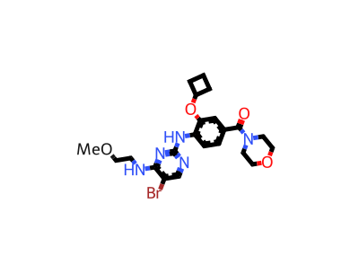 COCCNc1nc(Nc2ccc(C(=O)N3CCOCC3)cc2OC2CCC2)ncc1Br